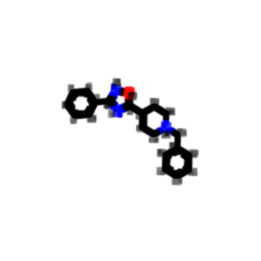 C1=C(c2nc(-c3ccccc3)no2)CCN(Cc2ccccc2)C1